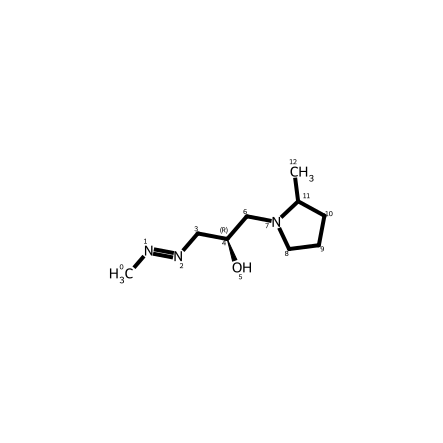 CN=NC[C@H](O)CN1CCCC1C